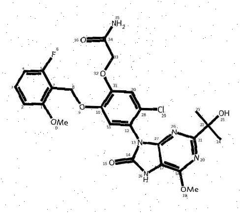 COc1cccc(F)c1COc1cc(-n2c(=O)[nH]c3c(OC)nc(C(C)(C)O)nc32)c(Cl)cc1OCC(N)=O